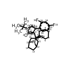 C[S+]([O-])CC1(C2CCCCC2)CC2CCC(C1)N2C(=O)[C@@H]1CN(C(C)(C)C)CC1c1ccc(F)cc1F